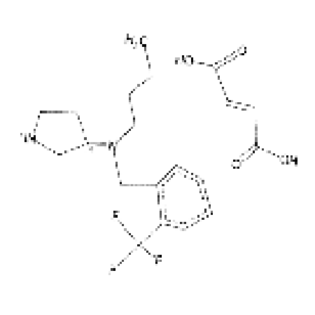 CCCCN(Cc1ccccc1C(F)(F)F)[C@H]1CCNC1.O=C(O)C=CC(=O)O